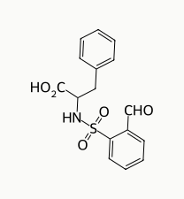 O=Cc1ccccc1S(=O)(=O)NC(Cc1ccccc1)C(=O)O